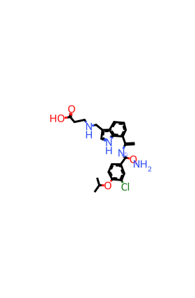 C=C(/N=C(\ON)c1ccc(OC(C)C)c(Cl)c1)c1cccc2c(CNCCC(=O)O)c[nH]c12